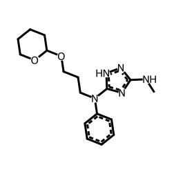 CNc1n[nH]c(N(CCCOC2CCCCO2)c2ccccc2)n1